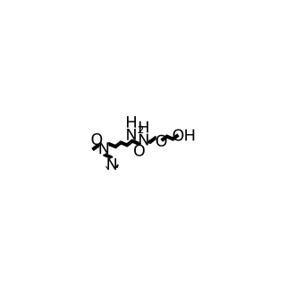 CC(=O)N(CCCC[C@H](N)C(=O)NCCOCCO)CCN(C)C